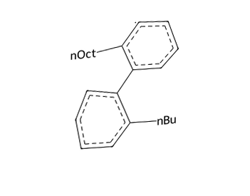 CCCCCCCCc1[c]cccc1-c1ccccc1CCCC